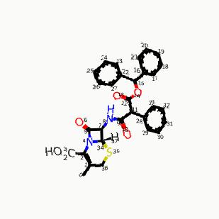 CC1=C(C(=O)O)N2C(=O)C(NC(=O)C(C(=O)OC(c3ccccc3)c3ccccc3)c3ccccc3)[C@@H]2SC1